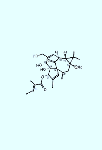 C/C=C(\C)C(=O)O[C@H]1C(C)=C[C@]23C(=O)[C@@H](C=C(CO)[C@@H](O)[C@]12O)[C@@H]1C(C)(C)[C@]1(OC(C)=O)C[C@H]3C